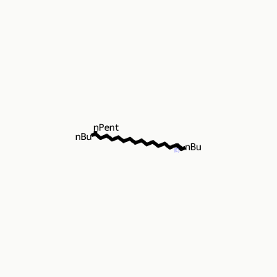 [CH2]CCC/C=C/CCCCCCCCCCCCCC(CCCC)CCCC[CH2]